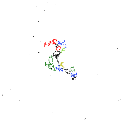 CC(C)Nc1ccc(-c2nnc(-c3cc(F)c(OC[C@@H](N)CO)cc3Cl)s2)cc1Cl.Cl